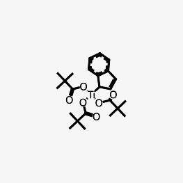 CC(C)(C)C(=O)[O][Ti]([O]C(=O)C(C)(C)C)([O]C(=O)C(C)(C)C)[CH]1C=Cc2ccccc21